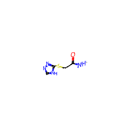 [NH]C(=O)CSc1nnc[nH]1